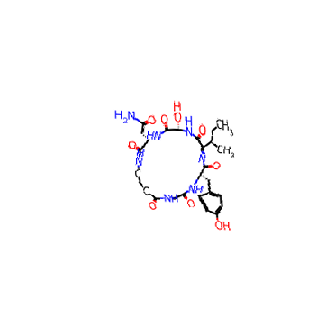 CCC(C)/C1=N\C(=O)[C@H](Cc2ccc(O)cc2)NC(=O)CNC(=O)CCCNC(=O)[C@H](CC(N)=O)NC(=O)[C@H](O)NC1=O